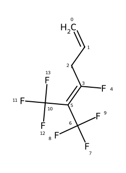 C=C[CH]C(F)=C(C(F)(F)F)C(F)(F)F